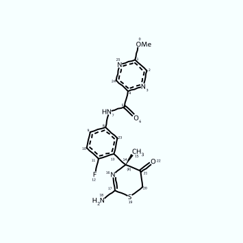 COc1cnc(C(=O)Nc2ccc(F)c([C@@]3(C)N=C(N)SCC3=O)c2)cn1